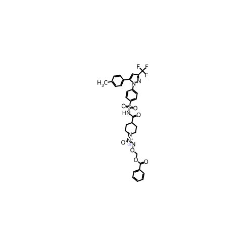 Cc1ccc(-c2cc(C(F)(F)F)nn2-c2ccc(S(=O)(=O)NC(=O)C3CCN(/[N+]([O-])=N/OCOC(=O)c4ccccc4)CC3)cc2)cc1